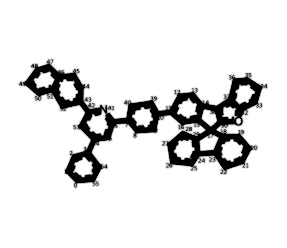 c1ccc(-c2cc(-c3ccc(-c4ccc5c(c4)C4(c6ccccc6-c6ccccc64)c4oc6ccccc6c4-5)cc3)nc(-c3ccc4ccccc4c3)c2)cc1